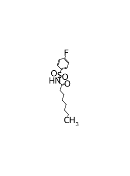 CCCCCCCC(=O)NS(=O)(=O)c1ccc(F)cc1